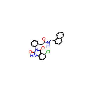 O=C(Cc1ccccc1-n1c(=O)[nH]c2cccc(Cl)c2c1=O)NCc1cccc2ccccc12